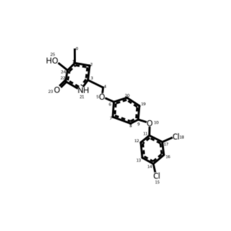 Cc1cc(COc2ccc(Oc3ccc(Cl)cc3Cl)cc2)[nH]c(=O)c1O